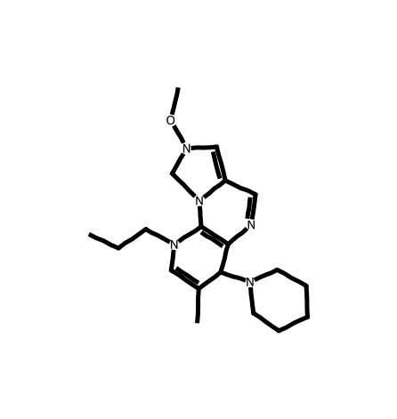 CCCN1C=C(C)C(N2CCCCC2)C2=C1N1CN(OC)C=C1C=N2